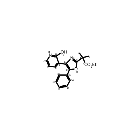 CCOC(=O)C(C)(C)c1nc(-c2cccnc2O)c(-c2ccccc2)o1